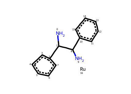 NC(c1ccccc1)C(N)c1ccccc1.[Ru]